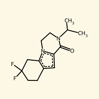 CC(C)N1CCn2c(cc3c2CC(F)(F)CC3)C1=O